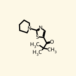 CC(C)(C)C(=O)c1cnc(N2CCCCC2)s1